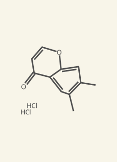 Cc1cc2occc(=O)c2cc1C.Cl.Cl